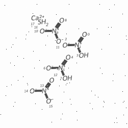 O=[N+]([O-])O.O=[N+]([O-])O.O=[N+]([O-])[O-].O=[N+]([O-])[O-].S.[Ca+2]